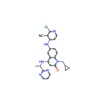 CC(Nc1cc(=O)n(CC2CC2)c2ccc(Nc3ccnc(Cl)c3C#N)cc12)c1ncccn1